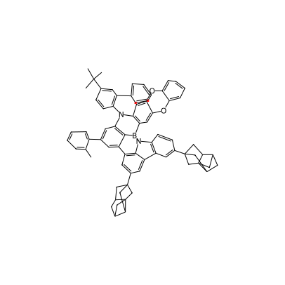 Cc1ccccc1-c1cc2c3c(c1)N(c1ccc(C(C)(C)C)cc1-c1ccccc1)c1cc4c(cc1B3n1c3ccc(C56CC7CC8CC7(C5)C8C6)cc3c3cc(C56CC7CC8CC7(C5)C8C6)cc-2c31)Oc1ccccc1O4